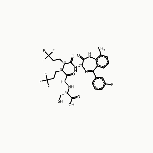 Cc1cccc2c1NC(=O)[C@@H](NC(=O)[C@H](CCC(F)(F)F)[C@H](CCC(F)(F)F)C(=O)NN[C@@H](CS)C(=O)O)N=C2c1cccc(F)c1